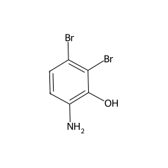 Nc1ccc(Br)c(Br)c1O